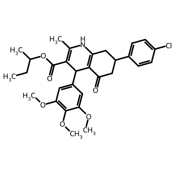 CCC(C)OC(=O)C1=C(C)NC2=C(C(=O)CC(c3ccc(Cl)cc3)C2)C1c1cc(OC)c(OC)c(OC)c1